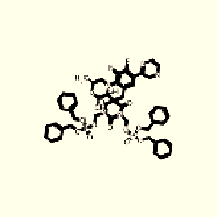 C[C@H]1CN2c3c(cc(-c4cnccn4)c(F)c3F)CC3(C(=O)N(COP(=O)(OCc4ccccc4)OCc4ccccc4)C(=O)N(COP(=O)(OCc4ccccc4)OCc4ccccc4)C3=O)[C@@H]2[C@@H](C)O1